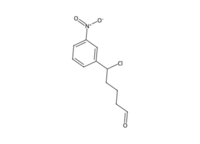 O=CCCCC(Cl)c1cccc([N+](=O)[O-])c1